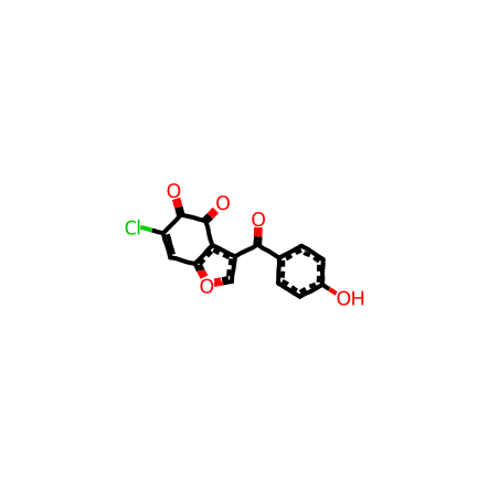 O=C1C(=O)c2c(C(=O)c3ccc(O)cc3)coc2C=C1Cl